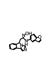 O/N=C(/CC1c2ccccc2-c2cncn21)Nc1ccc2occc2c1